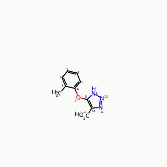 Cc1ccccc1Oc1[nH]nnc1C(=O)O